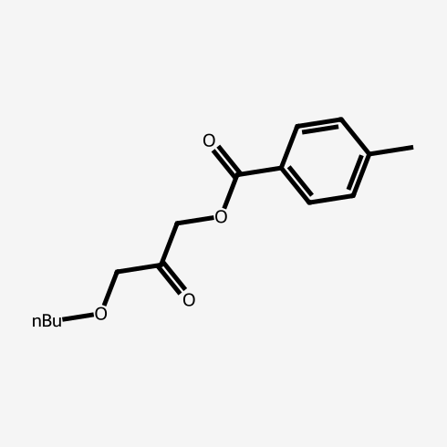 CCCCOCC(=O)COC(=O)c1ccc(C)cc1